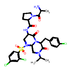 CC(N)C(=O)N1CCCC1C(=O)NC1CN(S(=O)(=O)c2ccc(Cl)cc2Cl)C2CN(C(C)C)C(=O)C(Cc3ccc(Cl)cc3)N2C1=O